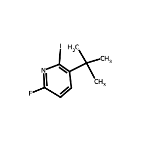 CC(C)(C)c1ccc(F)nc1I